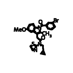 COc1ccc2c(c1)c(CC(=O)N(CC1CC1)c1nccs1)c(C)n2C(=O)c1cccc(Br)c1